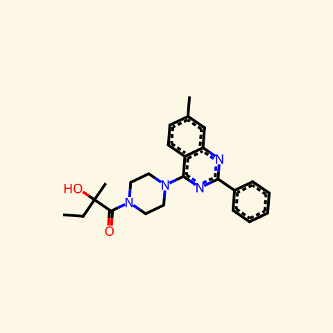 CCC(C)(O)C(=O)N1CCN(c2nc(-c3ccccc3)nc3cc(C)ccc23)CC1